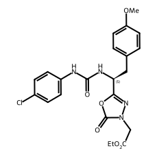 CCOC(=O)Cn1nc([C@H](Cc2ccc(OC)cc2)NC(=O)Nc2ccc(Cl)cc2)oc1=O